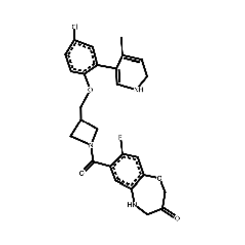 CC1=CCNC=C1c1cc(Cl)ccc1OCC1CN(C(=O)c2cc3c(cc2F)OCC(=O)CN3)C1